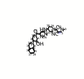 CN(C)/C=C(/C#N)C(=O)N1CCC(Nc2cc(C(=O)N3CCC(N4CCc5ccccc5C4)C(O)C3)ncn2)CC1